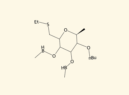 CBOC1C(CSCC)O[C@@H](C)C(OCCCC)C1OBC